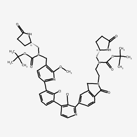 COc1nc(-c2cccc(-c3ccnc(-c4ccc5c(c4)CN(CCN(C[C@@H]4CCC(=O)N4)C(=O)OC(C)(C)C)C5=O)c3Cl)c2Cl)ccc1CN(C[C@@H]1CCC(=O)N1)C(=O)OC(C)(C)C